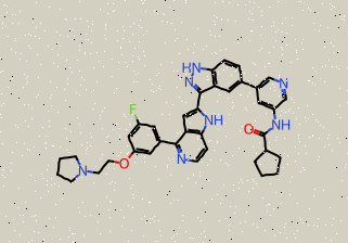 O=C(Nc1cncc(-c2ccc3[nH]nc(-c4cc5c(-c6cc(F)cc(OCCN7CCCC7)c6)nccc5[nH]4)c3c2)c1)C1CCCC1